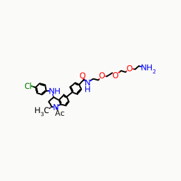 CC(=O)N1c2ccc(-c3ccc(C(=O)NCCOCCOCCOCCN)cc3)cc2[C@H](Nc2ccc(Cl)cc2)C[C@@H]1C